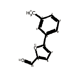 Cc1cccc(-c2ccc([C]=O)o2)c1